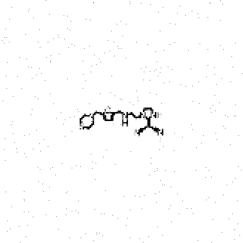 N#CC(C#N)=C1NCCN1CCNCc1ccc(CN2CCSCC2)o1